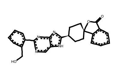 O=C1O[C@]2(CC[C@H](c3nc4nc(-c5ccccc5CO)ncc4[nH]3)CC2)c2ccccc21